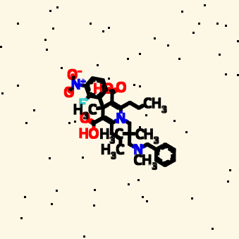 CCCC1=C(C(=O)O)C(C)(c2cccc([N+](=O)[O-])c2F)C(C(=O)O)=C(CCC)N1CC(C)(C)CN(C)Cc1ccccc1